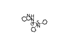 O=C(Nc1cnc2ccccc2c1)c1sc(-c2ccccc2)nc1-c1ccccc1